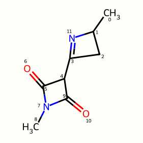 CC1CC(C2C(=O)N(C)C2=O)=N1